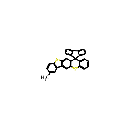 Cc1ccc2sc3cc4c(cc3c2c1)Sc1ccccc1C41c2ccccc2-c2ccccc21